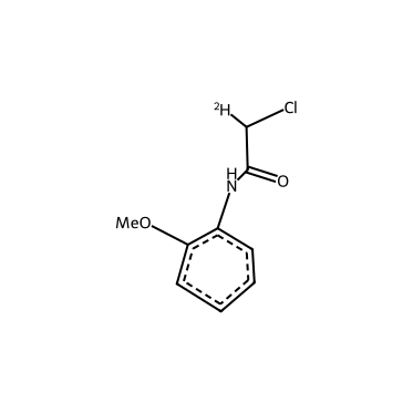 [2H]C(Cl)C(=O)Nc1ccccc1OC